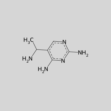 CC(N)c1cnc(N)nc1N